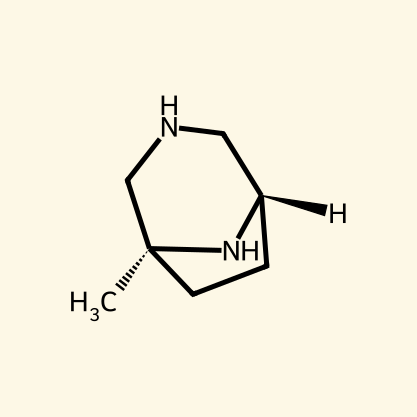 C[C@]12CC[C@@H](CNC1)N2